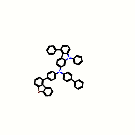 c1ccc(-c2ccc(N(c3ccc(-c4cccc5sc6ccccc6c45)cc3)c3ccc4c5c(-c6ccccc6)cccc5n(-c5ccccc5)c4c3)cc2)cc1